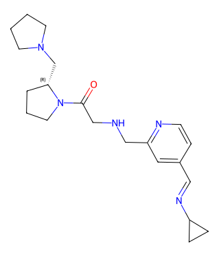 O=C(CNCc1cc(C=NC2CC2)ccn1)N1CCC[C@@H]1CN1CCCC1